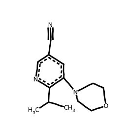 CC(C)c1ncc(C#N)cc1N1CCOCC1